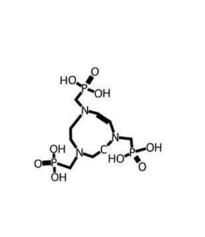 O=P(O)(O)CN1C=CN(CP(=O)(O)O)CCN(CP(=O)(O)O)CC1